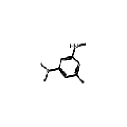 CNc1cc(C)cc(N(C)C)c1